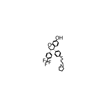 Oc1ccc2c(c1)OC[C@@H](c1ccc(C(F)(F)F)cc1)[C@H]2c1ccc(SCCN2CCCC2)cc1